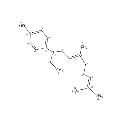 CCN(C/C=C(\C)CCC=C(C)C)c1ccc(O)cc1